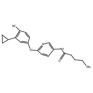 CC(C)(C)CCCC(=O)Nc1ccc(Oc2ccc(C#N)c(C3CC3)c2)nc1